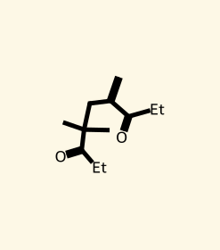 C=C(CC(C)(C)C(=O)CC)C(=O)CC